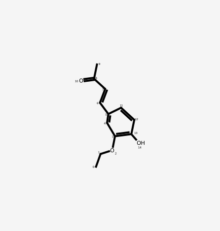 CCOc1cc(C=CC(C)=O)ccc1O